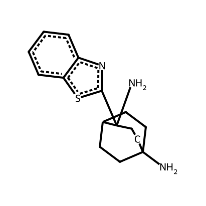 NC12CCC(CC1)C(N)(c1nc3ccccc3s1)CC2